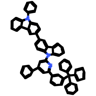 c1ccc(-c2cc(-c3cccc([Si](c4ccccc4)(c4ccccc4)c4ccccc4)c3)nc(-n3c4ccccc4c4cc(-c5ccc6c(c5)c5ccccc5n6-c5ccccc5)ccc43)c2)cc1